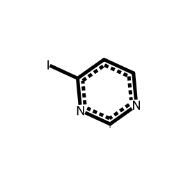 Ic1ccn[c]n1